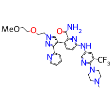 COCCOCCn1cc(-c2ccc(Nc3cnc(N4CCN(C)CC4)c(C(F)(F)F)c3)nc2C(N)=O)c(-c2ccccn2)n1